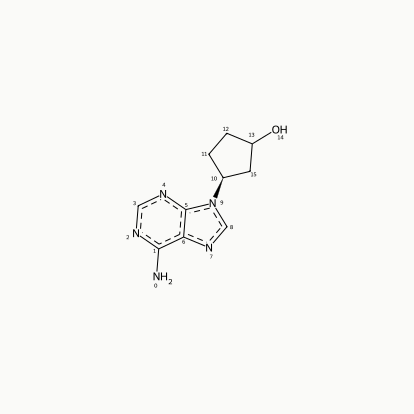 Nc1ncnc2c1ncn2[C@H]1CCC(O)C1